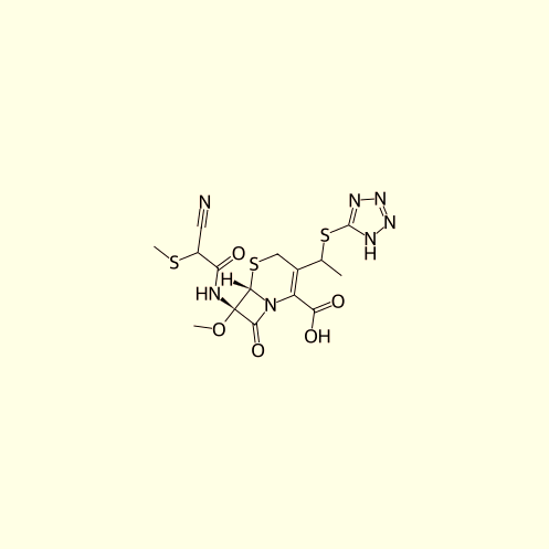 CO[C@@]1(NC(=O)C(C#N)SC)C(=O)N2C(C(=O)O)=C(C(C)Sc3nnn[nH]3)CS[C@H]21